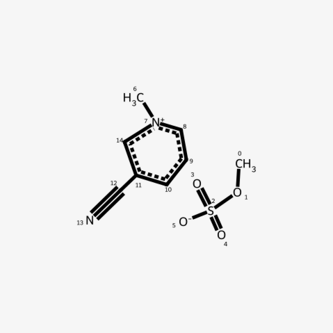 COS(=O)(=O)[O-].C[n+]1cccc(C#N)c1